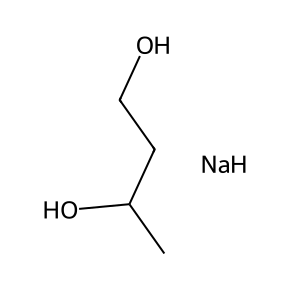 CC(O)CCO.[NaH]